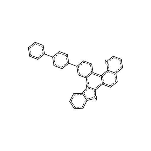 c1ccc(-c2ccc(-c3ccc4c5c(ccc6cccnc65)c5nc6ccccc6n5c4c3)cc2)cc1